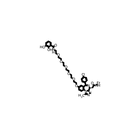 CCNC(=O)C[C@@H]1N=C(c2ccc(Cl)cc2)c2cc(OCCOCCOCCOCCOCCOCCNC(=O)c3cccc(O)c3O)ccc2-n2c(C)nnc21